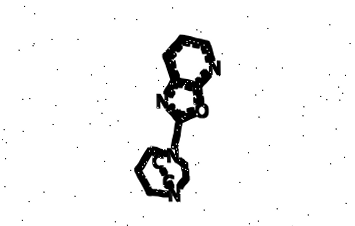 c1cnc2oc(N3CCN4CCC3CC4)nc2c1